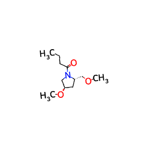 CCCC(=O)N1C[C@H](OC)C[C@H]1COC